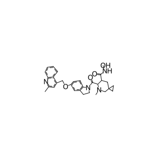 Cc1cc(COc2ccc3c(c2)CCN3C(=O)C2C(C(=O)NO)CC3(CC3)CN2C)c2ccccc2n1